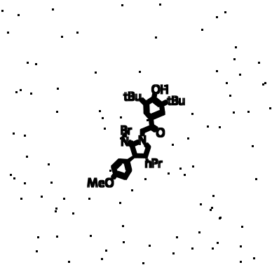 CCC[C@H]1CN(CC(=O)c2cc(C(C)(C)C)c(O)c(C(C)(C)C)c2)/C(=N\Br)[C@@H]1c1ccc(OC)cc1